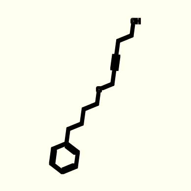 OCCC#CCOCCCCc1ccccc1